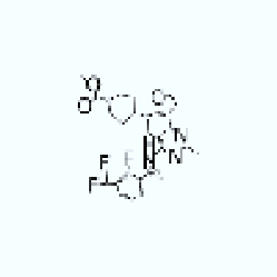 COC(=O)C1CCC(c2cc3c(N[C@H](C)c4cccc(C(F)F)c4F)nc(C)nc3c3c2OCC3)CC1